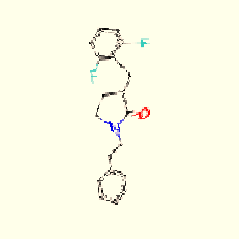 O=C1C(Cc2c(F)cccc2F)CCN1CCc1ccccc1